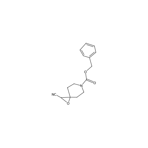 N#CC1OC12CCN(C(=O)OCc1ccccc1)CC2